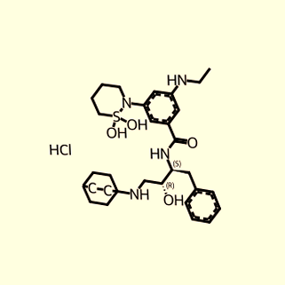 CCNc1cc(C(=O)N[C@@H](Cc2ccccc2)[C@H](O)CNC23CCC(CC2)CC3)cc(N2CCCCS2(O)O)c1.Cl